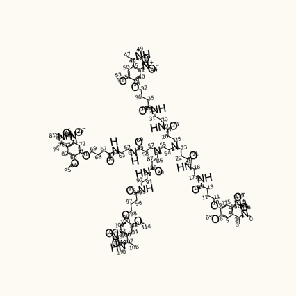 CNC(C)c1cc(OC)c(OCCCC(=O)NCCNC(=O)CCN(CCC(=O)NCCNC(=O)CCCOc2cc([N+](=O)[O-])c(C(C)NC)cc2OC)CCN(CCC(=O)NCCNC(=O)CCCOc2cc([N+](=O)[O-])c(C(C)NC)cc2OC)CCC(=O)NCCNC(=O)CCCOc2cc([N+](=O)[O-])c(C(C)NC)cc2OC)cc1[N+](=O)[O-]